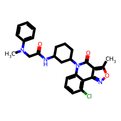 Cc1onc2c1c(=O)n(C1CCCC(NC(=O)CN(C)c3ccccc3)C1)c1cccc(Cl)c21